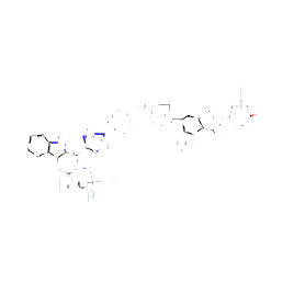 COc1cc(N2CCN(CC3CCN(c4ncc([C@@H]5c6[nH]c7ccccc7c6C[C@@H](C)N5CC(C)(C)F)cn4)CC3)CC2)cc2c1C(=O)N(C1CCC(=O)NC1=O)C2